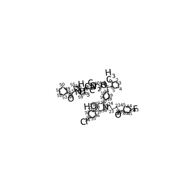 Cc1ccccc1C(OCCN(C)C)c1ccccc1.O=C(CCCN1CCC(O)(c2ccc(Cl)cc2)CC1)c1ccc(F)cc1.O=C(c1ccccc1)c1ccc2n1CCC2C(=O)O